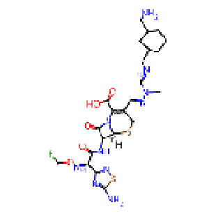 CN(/C=N/CC1CCCC(CN)C1)N=CC1=C(C(=O)O)N2C(=O)C(NC(=O)/C(=N\OCF)c3nsc(N)n3)[C@@H]2SC1